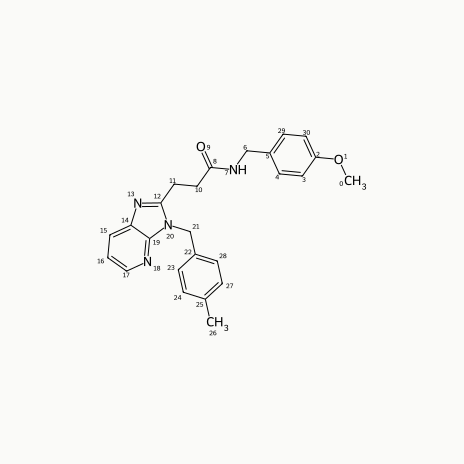 COc1ccc(CNC(=O)CCc2nc3cccnc3n2Cc2ccc(C)cc2)cc1